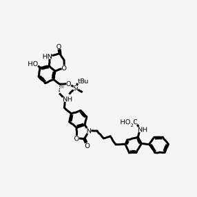 CC(C)(C)[Si](C)(C)O[C@H](CNCc1ccc2c(c1)oc(=O)n2CCCCc1ccc(-c2ccccc2)c(NC(=O)O)c1)c1ccc(O)c2c1OCC(=O)N2